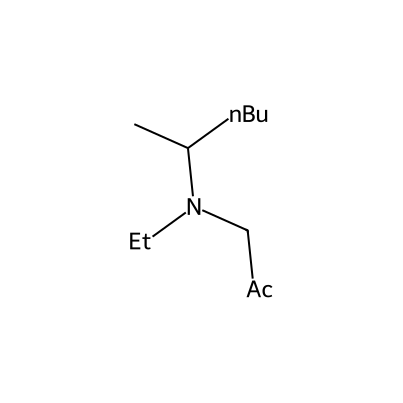 CCCCC(C)N(CC)CC(C)=O